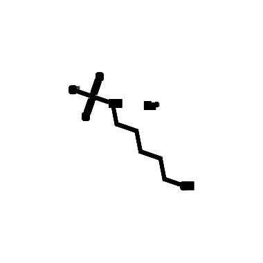 O=S(=O)([O-])NCCCCCO.[Na+]